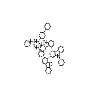 c1ccc(C2=NC(c3ccc(-c4ccccc4)cc3-n3c4ccccc4c4c(-c5cc(-c6cccc7c6oc6ccccc67)cc6c5c5ccccc5n6-c5ccccc5)cccc43)NC(c3ccccc3)=N2)cc1